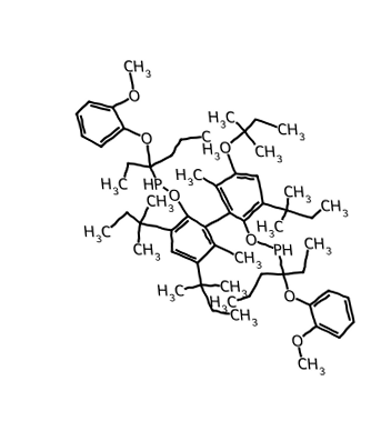 CCCC(CC)(Oc1ccccc1OC)POc1c(C(C)(C)CC)cc(OC(C)(C)CC)c(C)c1-c1c(C)c(C(C)(C)CC)cc(C(C)(C)CC)c1OPC(CC)(CCC)Oc1ccccc1OC